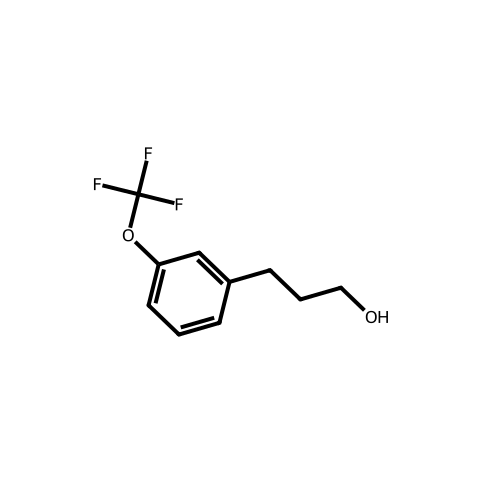 OCCCc1cccc(OC(F)(F)F)c1